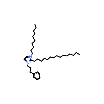 CCCCCCCCCCCCCCCc1n(CCCCCCCCCC)cc[n+]1CCCc1ccccc1